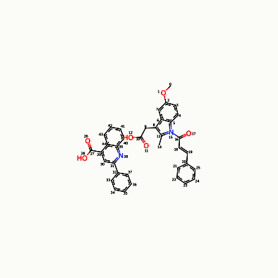 COc1ccc2c(c1)c(CC(=O)O)c(C)n2C(=O)/C=C/c1ccccc1.O=C(O)c1cc(-c2ccccc2)nc2ccccc12